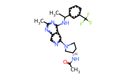 CC(=O)N[C@H]1CCN(c2cc3c(NC(C)c4cccc(C(F)(F)F)c4)nc(C)nc3cn2)C1